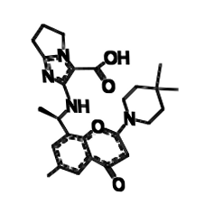 Cc1cc([C@@H](C)Nc2nc3n(c2C(=O)O)CCC3)c2oc(N3CCC(C)(C)CC3)cc(=O)c2c1